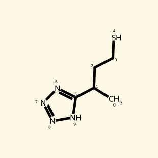 CC(CCS)c1nnn[nH]1